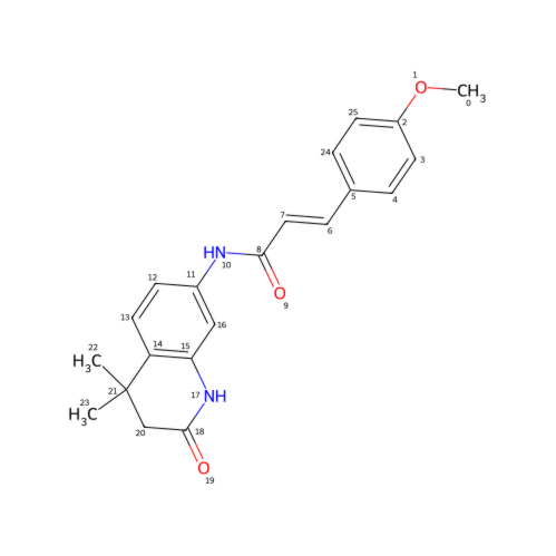 COc1ccc(/C=C/C(=O)Nc2ccc3c(c2)NC(=O)CC3(C)C)cc1